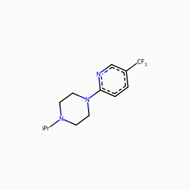 CC(C)N1CCN(c2ccc(C(F)(F)F)cn2)CC1